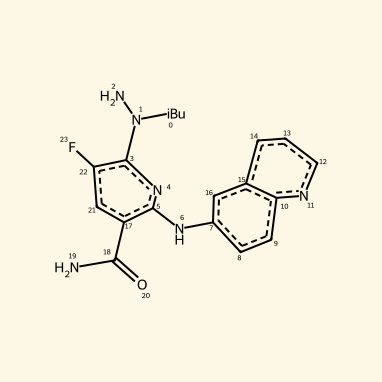 CCC(C)N(N)c1nc(Nc2ccc3ncccc3c2)c(C(N)=O)cc1F